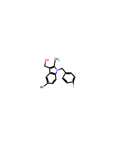 Cc1c(CO)c2cc(C#N)ccc2n1Cc1ccc(F)cc1